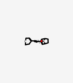 CN1C2C=C(C#CC3=CCCCC3)CC1CC2